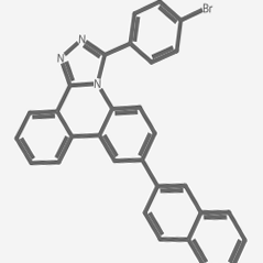 Brc1ccc(-c2nnc3c4ccccc4c4cc(-c5ccc6ccccc6c5)ccc4n23)cc1